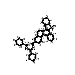 CC1(C)c2ccccc2-c2c1c1ccccc1c1c2ccc2cc(-c3nc(-c4ccccc4)nc(-c4ccccc4)n3)ccc21